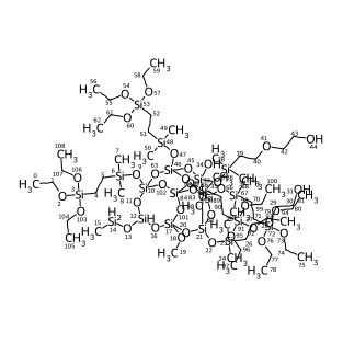 CCO[Si](CC[Si](C)(C)O[Si]12O[SiH](O[SiH2]C)O[Si]3(OC)O[Si]4(O[Si](C)(C)CCOCCO)O[Si](O)(O[Si](C)(C)CCOCCO)O[Si](O[Si](C)(C)CC[Si](OCC)(OCC)OCC)(O1)O[Si](O[Si](C)(C)CC[Si](OCC)(OCC)OCC)(O4)O[Si](O[Si](C)(C)CC[Si](OCC)(OCC)OCC)(O3)O2)(OCC)OCC